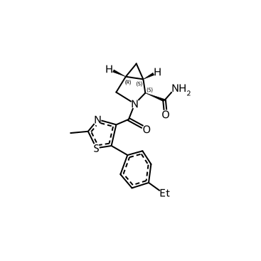 CCc1ccc(-c2sc(C)nc2C(=O)N2C[C@@H]3C[C@@H]3[C@H]2C(N)=O)cc1